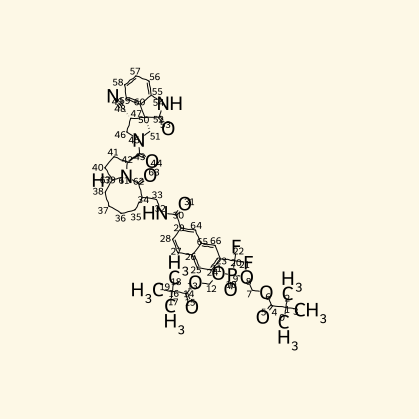 CC(C)(C)C(=O)OCOP(=O)(OCOC(=O)C(C)(C)C)C(F)(F)c1ccc2ccc(C(=O)NCC3CCCC[C@H]4CC[C@@H](C(=O)N5C[C@H](C#N)[C@]6(C5)C(=O)Nc5ccccc56)N4C3=O)cc2c1